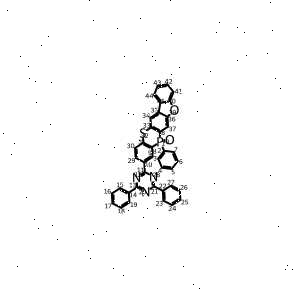 O=P1(c2ccccc2)c2cc(-c3nc(-c4ccccc4)nc(-c4ccccc4)n3)ccc2Sc2cc3c(cc21)oc1ccccc13